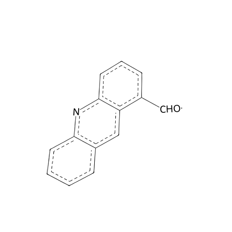 O=[C]c1cccc2nc3ccccc3cc12